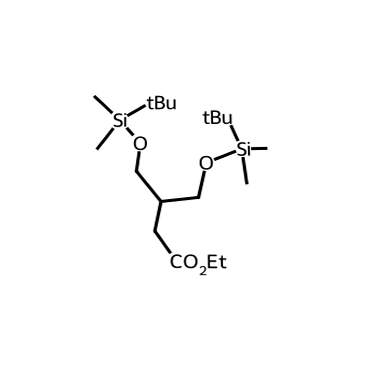 CCOC(=O)CC(CO[Si](C)(C)C(C)(C)C)CO[Si](C)(C)C(C)(C)C